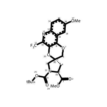 COC(=O)[C@@H]1C[C@]2(COc3c(c(C(F)(F)F)nc4ccc(OC)cc34)O2)CN1C(=O)OC(C)(C)C